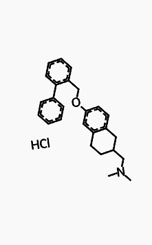 CN(C)CC1CCc2cc(OCc3ccccc3-c3ccccc3)ccc2C1.Cl